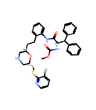 COC(=O)N[C@H](C(=O)Nc1ccccc1CC[C@@H]1CNC[C@@H](CSc2ncccc2Cl)O1)C(c1ccccc1)c1ccccc1